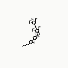 CCCCCc1ccc(-c2ccc(C(F)(F)Oc3cc(F)c(C#CC4=CC(F)C(F)C(F)=C4)c(F)c3)cc2)nc1